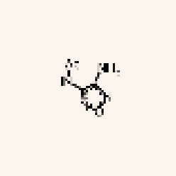 CC(=O)Nc1nonc1N